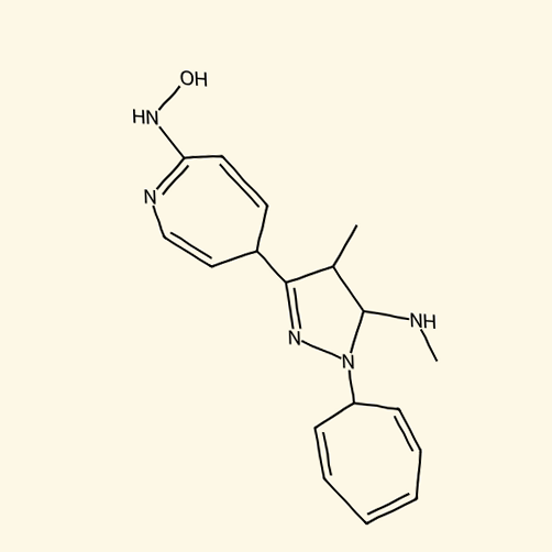 CNC1C(C)C(C2C=CN=C(NO)C=C2)=NN1C1C=CC=CC=C1